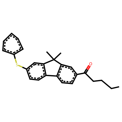 CCCCC(=O)c1ccc2c(c1)C(C)(C)c1cc(Sc3ccccc3)ccc1-2